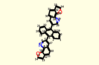 c1ccc2c(-c3cnc4c(ccc5ccoc54)c3)c3ccccc3c(-c3cnc4c(ccc5ccoc54)c3)c2c1